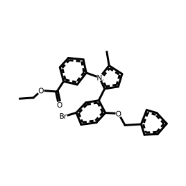 CCOC(=O)c1cccc(-n2c(C)ccc2-c2cc(Br)ccc2OCc2ccccc2)c1